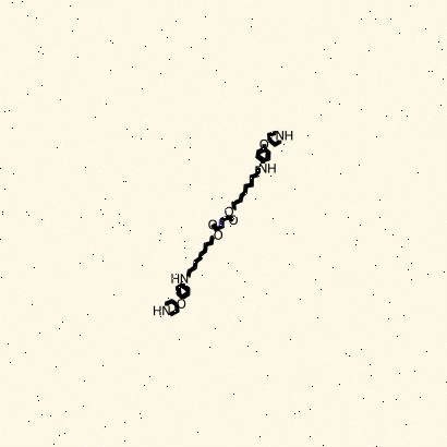 O=C(/C=C/C(=O)OCCCCCCCCCCNc1ccc(OC2CCNCC2)cc1)OCCCCCCCCCCNc1ccc(OC2CCNCC2)cc1